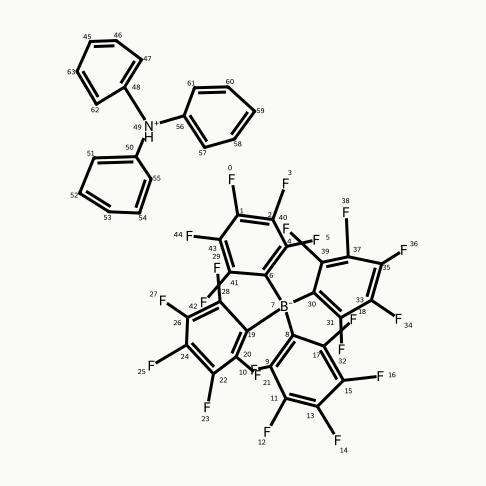 Fc1c(F)c(F)c([B-](c2c(F)c(F)c(F)c(F)c2F)(c2c(F)c(F)c(F)c(F)c2F)c2c(F)c(F)c(F)c(F)c2F)c(F)c1F.c1ccc([NH+](c2ccccc2)c2ccccc2)cc1